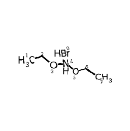 Br.CCONOCC